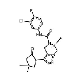 C[C@H]1Cn2ncc(N3CC(C)(C)CC3=O)c2CN1C(=O)Nc1ccc(F)c(Cl)c1